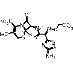 COC1=C(C(=O)O)N2C(=O)C(NC(=O)C(=NOCC(=O)O)c3nsc(N)n3)[C@@H]2SC1